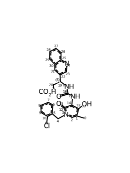 Cc1cn(Cc2ccccc2Cl)c(=O)c(NC(=O)N[C@@H](CC(=O)O)c2cnc3ccccc3c2)c1O